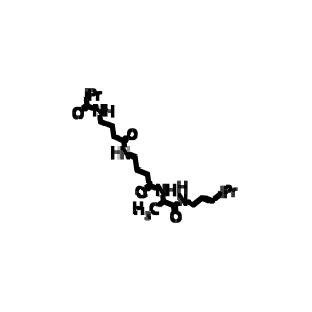 CC(C)CCCNC(=O)C(C)NC(=O)CCCNC(=O)CCCNC(=O)C(C)C